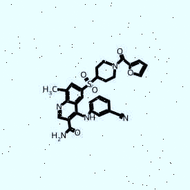 Cc1cc(S(=O)(=O)C2CCN(C(=O)c3ccco3)CC2)cc2c(Nc3cccc(C#N)c3)c(C(N)=O)cnc12